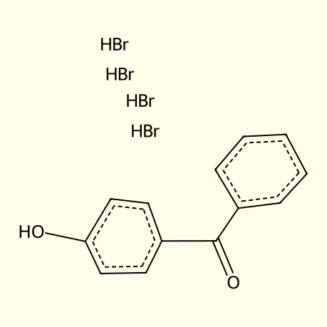 Br.Br.Br.Br.O=C(c1ccccc1)c1ccc(O)cc1